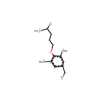 CCC(CCCOc1c(OC)cc(CBr)cc1OC)C(=O)O